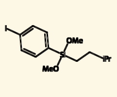 CO[Si](CCC(C)C)(OC)c1ccc(I)cc1